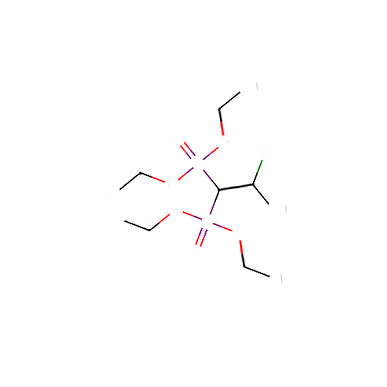 CCOP(=O)(OCC)C(C(C)Br)P(=O)(OCC)OCC